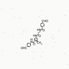 Cn1cc(NC(=O)CCNC(=O)c2ccc(C=O)cc2)cc1C(=O)Nc1ccc(C=O)cc1